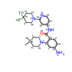 C[Si]1(C)CCN(c2cc(N)ccc2C(=O)Nc2ccnc(N3CCC(F)(F)CC3)c2)CC1